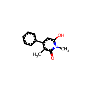 Cc1c(-c2ccccc2)cc(O)n(C)c1=O